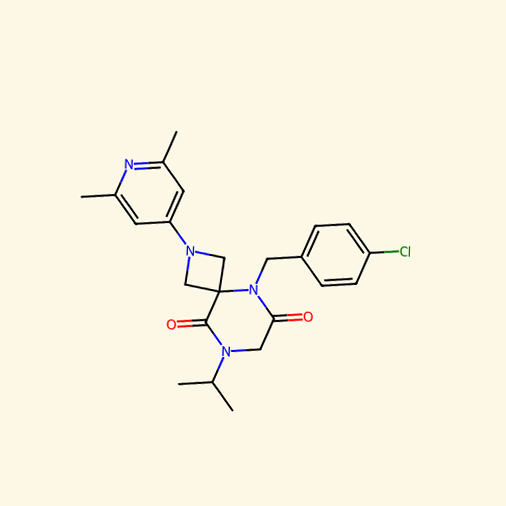 Cc1cc(N2CC3(C2)C(=O)N(C(C)C)CC(=O)N3Cc2ccc(Cl)cc2)cc(C)n1